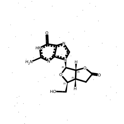 Nc1nc2c(ncn2[C@@H]2O[C@H](CO)[C@H]3CC(=O)O[C@H]32)c(=O)[nH]1